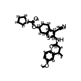 COc1cccc(C(C)CC(=O)Nc2sc3c(c2C#N)CCC(OC(=O)N2CCCC2)C3)c1